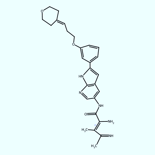 CC(=N)/C(C)=C(\N)C(=O)Nc1cnc2[nH]c(-c3cccc(OCCC=C4CCOCC4)c3)cc2c1